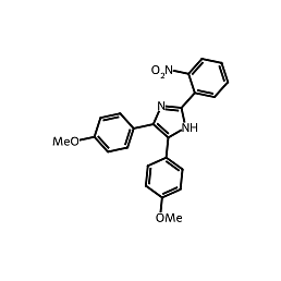 COc1ccc(-c2nc(-c3ccccc3[N+](=O)[O-])[nH]c2-c2ccc(OC)cc2)cc1